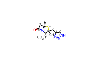 CC1(Cc2c[nH]nn2)S[C@@H]2CC(=O)N2C1C(=O)O